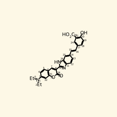 CCN(CC)c1ccc2cc(-c3nc4ccc(/C=C/c5ccc(O)c(C(=O)O)c5)cc4[nH]3)c(=O)oc2c1